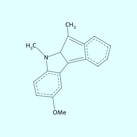 COc1ccc2c(c1)C1=c3ccccc3=C(C)C1N2C